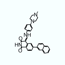 CN1CCN(c2ccc(N/C=C3\C(=O)NC(=O)c4ccc(-c5ccc6ccccc6c5)cc43)cc2)CC1